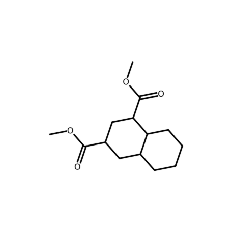 COC(=O)C1CC2CCCCC2C(C(=O)OC)C1